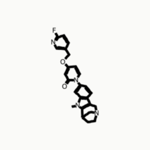 Cn1c2c(c3ccc(-n4ccc(OCc5ccc(F)nc5)cc4=O)cc31)CN1CCC2CC1